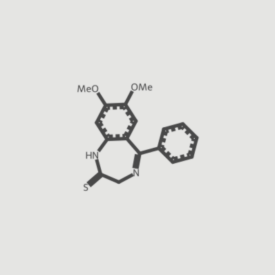 COc1cc2c(cc1OC)C(c1ccccc1)=NCC(=S)N2